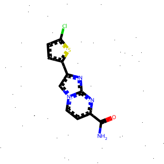 NC(=O)c1ccn2cc(-c3ccc(Cl)s3)nc2n1